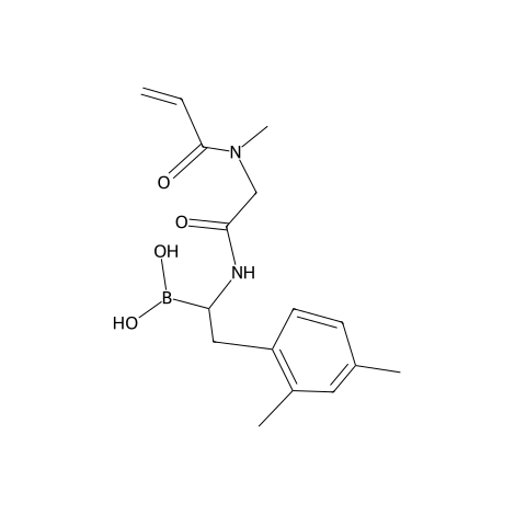 C=CC(=O)N(C)CC(=O)NC(Cc1ccc(C)cc1C)B(O)O